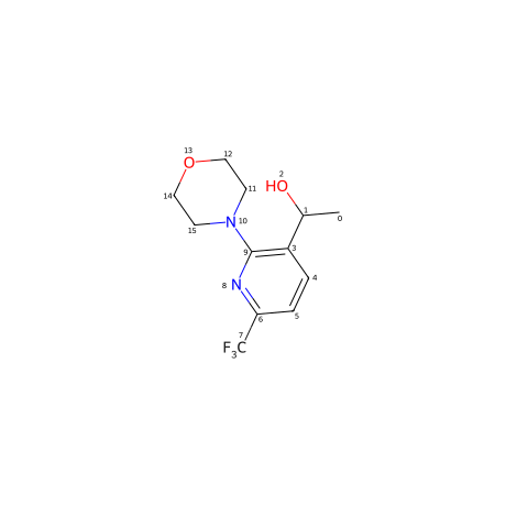 CC(O)c1ccc(C(F)(F)F)nc1N1CCOCC1